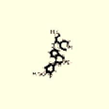 CCCC(Oc1ccc2c(c1)CN(C)CC2c1ccc(OC)c(F)c1)C1CCNCC1